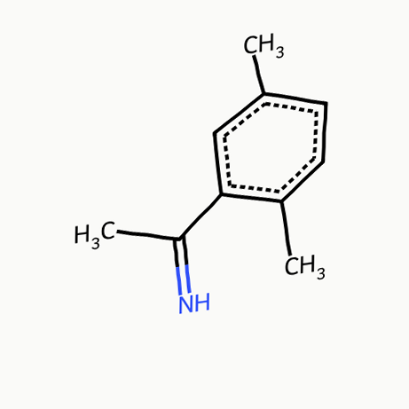 CC(=N)c1cc(C)ccc1C